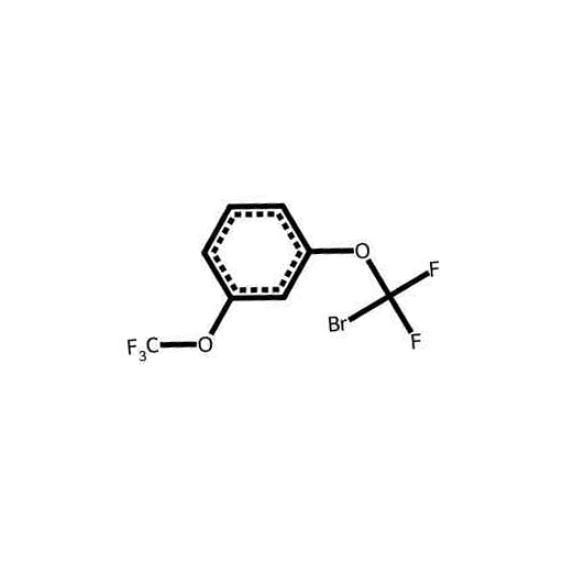 FC(F)(F)Oc1cccc(OC(F)(F)Br)c1